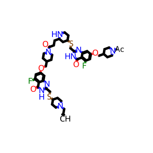 C#CCN1CCC(SCc2nc3cc(OCC4CCN(C(=O)CCC5CC(SCc6nc7cc(OCC8CCN(C(C)=O)CC8)cc(F)c7c(=O)[nH]6)CCN5)CC4)cc(F)c3c(=O)[nH]2)CC1